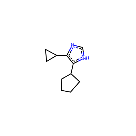 c1nc(C2CC2)c(C2CCCC2)[nH]1